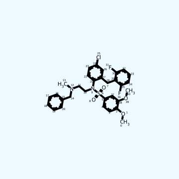 COc1ccc(S(=O)(=O)N(CCN(C)Cc2ccccc2)c2ccc(Cl)cc2Cc2c(F)cccc2F)cc1OC